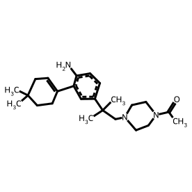 CC(=O)N1CCN(CC(C)(C)c2ccc(N)c(C3=CCC(C)(C)CC3)c2)CC1